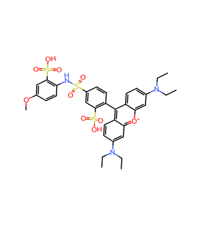 CCN(CC)c1ccc2c(-c3ccc(S(=O)(=O)Nc4ccc(OC)cc4S(=O)(=O)O)cc3S(=O)(=O)O)c3ccc(N(CC)CC)cc3[o+]c2c1